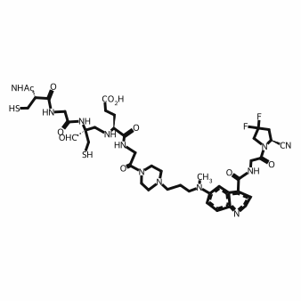 CC(=O)N[C@@H](CS)C(=O)NCC(=O)N[C@](C=O)(CS)CN[C@@H](CCC(=O)O)C(=O)NCC(=O)N1CCN(CCCN(C)c2ccc3nccc(C(=O)NCC(=O)N4CC(F)(F)C[C@H]4C#N)c3c2)CC1